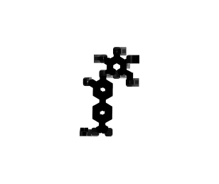 COC(=O)c1ccc(-c2ccc(O[C@H]3O[C@H](CO)[C@@H](O)C(O)C3O)c(Cl)c2)cc1